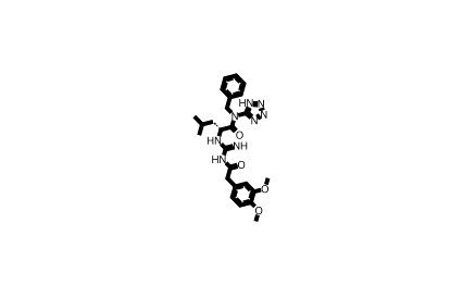 COc1ccc(CC(=O)NC(=N)N[C@H](CC(C)C)C(=O)N(Cc2ccccc2)c2nnn[nH]2)cc1OC